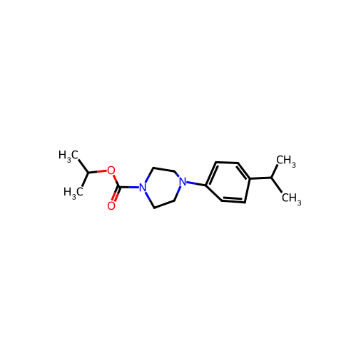 CC(C)OC(=O)N1CCN(c2ccc(C(C)C)cc2)CC1